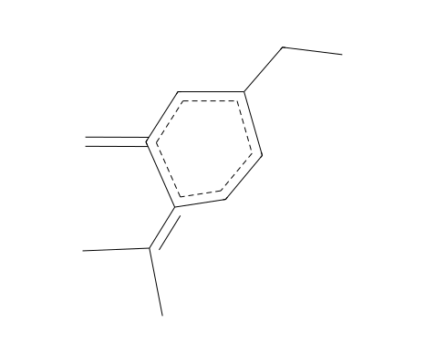 C=c1cc(CC)ccc1=C(C)C